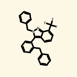 FC(F)(F)c1cccc2c(-c3ccccc3Cc3ccccc3)n(Cc3ccccc3)nc12